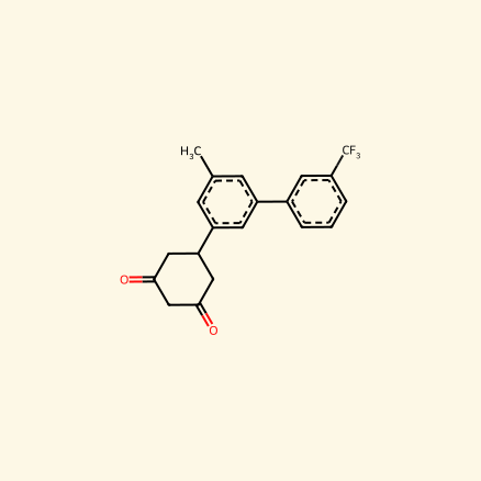 Cc1cc(-c2cccc(C(F)(F)F)c2)cc(C2CC(=O)CC(=O)C2)c1